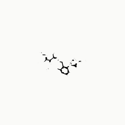 CON=C(C)C(=NOC)C(C)=NOCc1c(C)cccc1-n1nnn(C)c1=O